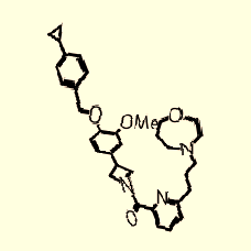 COc1cc(C2CN(C(=O)c3cccc(CCCN4CCCOCC4)n3)C2)ccc1OCc1ccc(C2CC2)cc1